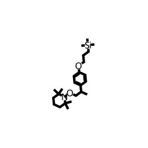 CC(CON1C(C)(C)CCCC1(C)C)c1ccc(OCCC[Si](C)(C)C)cc1